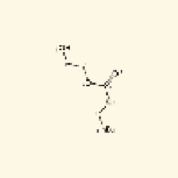 CCCCCOC(=O)OCCO